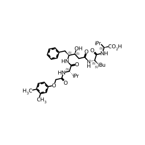 CC[C@H](C)[C@H](NC(=O)C[C@H](O)[C@H](Cc1ccccc1)NC(=O)[C@@H](NC(=O)COc1ccc(C)c(C)c1)C(C)C)C(=O)N[C@H](C(=O)O)C(C)C